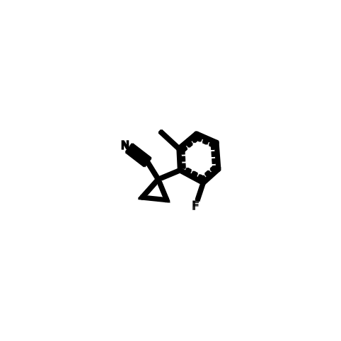 Cc1cccc(F)c1C1(C#N)CC1